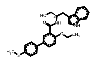 CCOc1ccc(-c2ccc(SC)cc2)cc1C(=O)N[C@@H](CO)Cc1c[nH]c2ccccc12